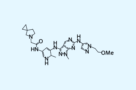 COCCn1cc(Nc2ncc3c(NC4=CC(NC(=O)CN5CCC6(CC6)C5)=CNC4C)nn(C)c3n2)cn1